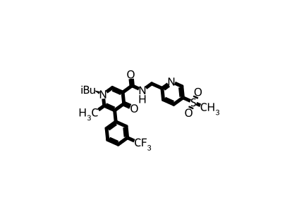 CC[C@H](C)n1cc(C(=O)NCc2ccc(S(C)(=O)=O)cn2)c(=O)c(-c2cccc(C(F)(F)F)c2)c1C